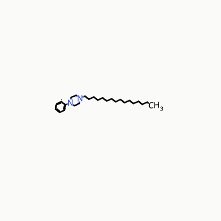 CCCCCCCCCCCCCCCCN1CCN(c2[c]cccc2)CC1